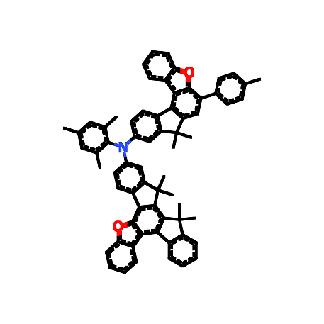 Cc1ccc(-c2cc3c(c4c2oc2ccccc24)-c2ccc(N(c4ccc5c(c4)C(C)(C)c4c6c(c7c(oc8ccccc87)c4-5)-c4ccccc4C6(C)C)c4c(C)cc(C)cc4C)cc2C3(C)C)cc1